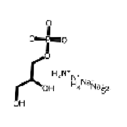 O=P([O-])([O-])OCC(O)CO.[NH4+].[NH4+].[Na+].[Na+].[S-2]